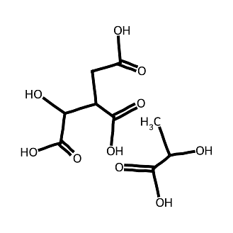 CC(O)C(=O)O.O=C(O)CC(C(=O)O)C(O)C(=O)O